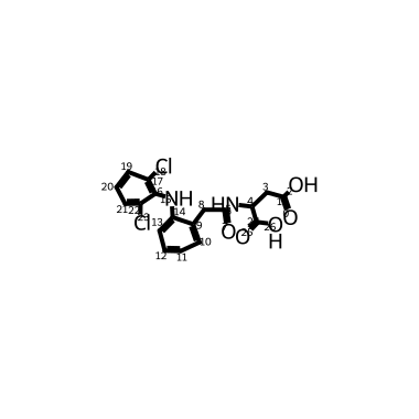 O=C(O)CC(NC(=O)Cc1ccccc1Nc1c(Cl)cccc1Cl)C(=O)O